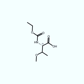 CCOC(=O)N[C@H](C(=O)O)C(C)OC